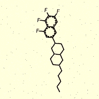 CCCCCC1CCC2CC(c3cc(F)c4c(F)c(F)c(F)cc4c3)CCC2C1